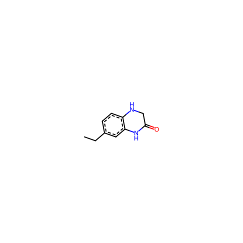 CCc1ccc2c(c1)NC(=O)CN2